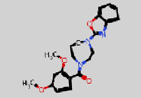 COC1=C(C(=O)N2CCCN(c3nc4ccccc4o3)CC2)C=CC(OC)C1